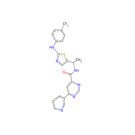 CC(NC(=O)c1cc(-c2cccnc2)ncn1)c1cnc(Nc2ccc(C(F)(F)F)cc2)s1